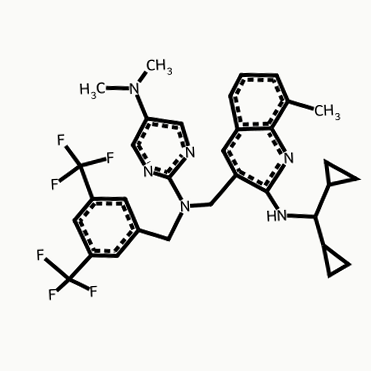 Cc1cccc2cc(CN(Cc3cc(C(F)(F)F)cc(C(F)(F)F)c3)c3ncc(N(C)C)cn3)c(NC(C3CC3)C3CC3)nc12